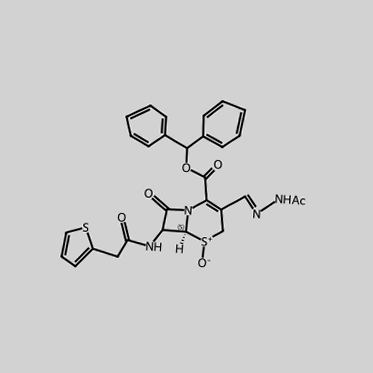 CC(=O)NN=CC1=C(C(=O)OC(c2ccccc2)c2ccccc2)N2C(=O)C(NC(=O)Cc3cccs3)[C@@H]2[S+]([O-])C1